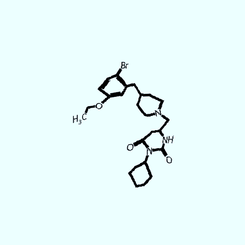 CCOc1ccc(Br)c(CC2CCN(CC3CC(=O)N(C4CCCCC4)C(=O)N3)CC2)c1